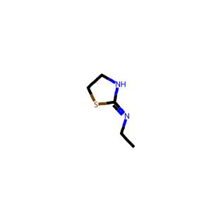 CC/N=C1/NCCS1